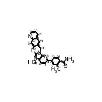 Cc1cc(-c2ccc3ncn(Cc4cc5cccnc5cc4F)c3n2)ccc1C(N)=O.Cl